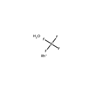 F[B-](F)(F)F.O.[Rh+]